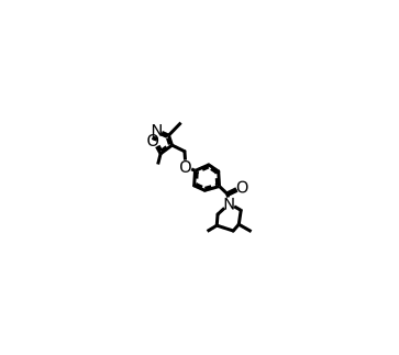 Cc1noc(C)c1COc1ccc(C(=O)N2CC(C)CC(C)C2)cc1